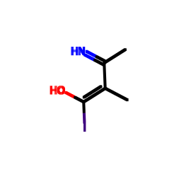 CC(=N)/C(C)=C(\O)I